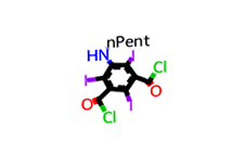 CCCCCNc1c(I)c(C(=O)Cl)c(I)c(C(=O)Cl)c1I